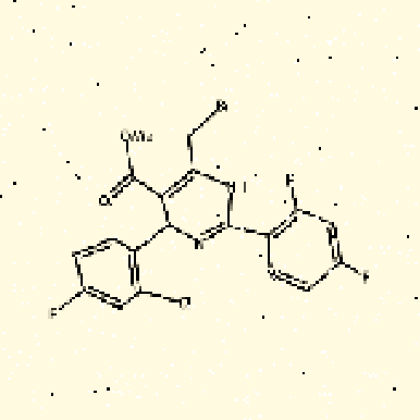 COC(=O)C1=C(CBr)NC(c2ncc(F)cc2F)=NC1c1ccc(F)cc1Cl